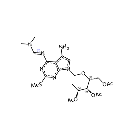 CSc1nc(/N=C/N(C)C)c2c(N)cn(CO[C@H](COC(C)=O)[C@@H](OC(C)=O)[C@H](C)OC(C)=O)c2n1